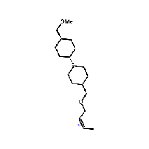 C/C=C\COCC1CCC([C@H]2CC[C@H](COC)CC2)CC1